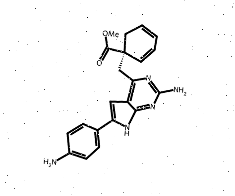 COC(=O)[C@]1(Cc2nc(N)nc3[nH]c(-c4ccc(N)cc4)cc23)C=CC=CC1